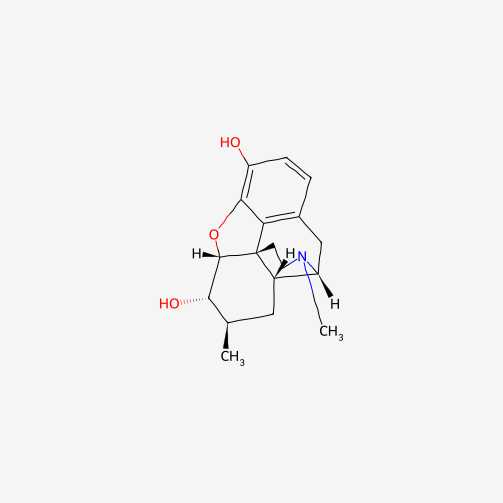 C[C@@H]1C[C@H]2[C@H]3Cc4ccc(O)c5c4[C@@]2(CCN3C)[C@@H](O5)[C@H]1O